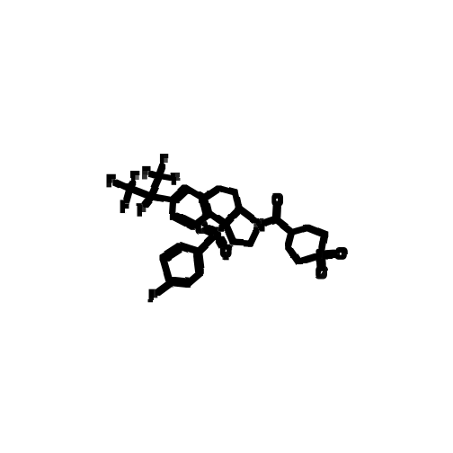 C[C@H]1CN(C(=O)C2CCS(=O)(=O)CC2)C2CCc3cc(C(F)(C(F)(F)F)C(F)(F)F)ccc3C21S(=O)(=O)c1ccc(F)cc1